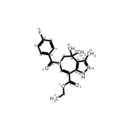 CCOC(=O)C1=CN(C(=O)c2ccc(F)cc2)CC(C)(C)c2c(C)n[nH]c21